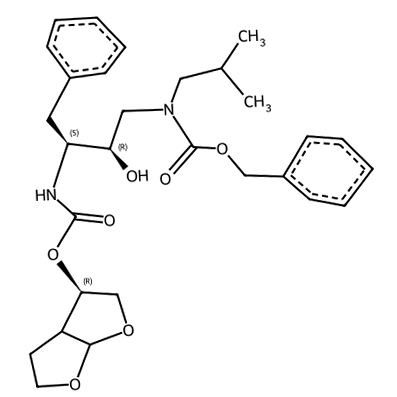 CC(C)CN(C[C@@H](O)[C@H](Cc1ccccc1)NC(=O)O[C@H]1COC2OCCC21)C(=O)OCc1ccccc1